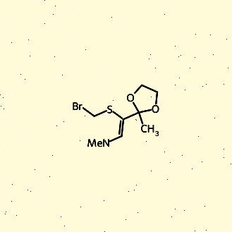 CN/C=C(\SCBr)C1(C)OCCO1